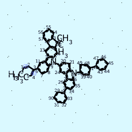 C/C=C\C(=C/C)c1ccc2c(c1)c1cc3c(cc1n2-c1ccc2c(c1)c1cc(-c4ccccc4)ccc1n2-c1ccc(-c2ccccc2)cc1)C(C)(C)c1ccccc1-3